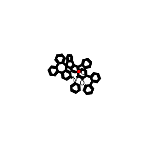 c1ccc(N(c2ccc3c(c2)C2(c4ccccc4-c4ccccc4-3)c3ccccc3-c3c2ccc2oc4ccccc4c32)c2cccc3c2Oc2ccccc2-c2ccccc2-3)cc1